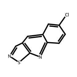 Clc1ccc2nc3sncc3cc2c1